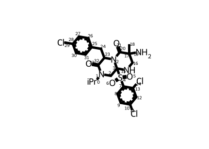 CC(C)N1CC2(S(=O)(=O)c3ccc(Cl)cc3Cl)NCC(C)(N)C(=O)N2C(Cc2ccc(Cl)cc2)C1=O